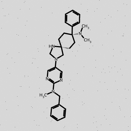 CN(Cc1ccccc1)c1ncc(N2CN[C@]3(CC[C@@](c4ccccc4)(N(C)C)CC3)C2)cn1